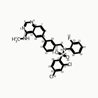 CNc1ncnc2ccc(-c3cccc(CN(c4ccccc4F)S(=O)(=O)c4ccc(Cl)cc4Cl)c3)cc12